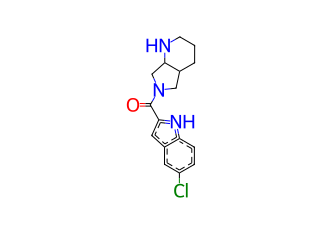 O=C(c1cc2cc(Cl)ccc2[nH]1)N1CC2CCCNC2C1